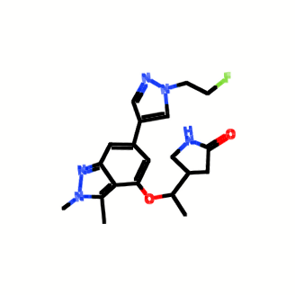 Cc1c2c(OC(C)C3CNC(=O)C3)cc(-c3cnn(CCF)c3)cc2nn1C